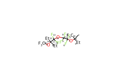 CCC(C)(OC(F)(F)C(F)(F)OC(F)(F)C(CC)(CC)OC(F)(F)F)C(F)(F)F